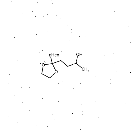 CCCCCCC1(CCC(C)O)OCCO1